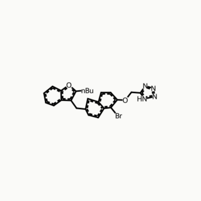 CCCCc1oc2ccccc2c1Cc1ccc2c(Br)c(OCc3nnn[nH]3)ccc2c1